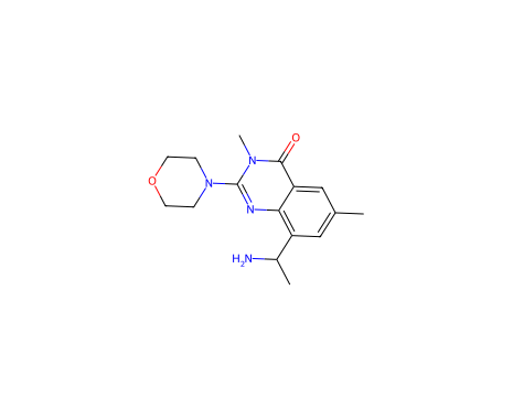 Cc1cc(C(C)N)c2nc(N3CCOCC3)n(C)c(=O)c2c1